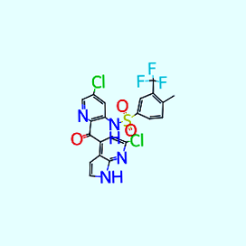 Cc1ccc(S(=O)(=O)Nc2cc(Cl)cnc2C(=O)c2cc(Cl)nc3[nH]ccc23)cc1C(F)(F)F